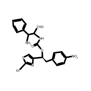 CCc1nc([C@H](Cc2ccc([N+](=O)[O-])cc2)OC(=O)NC(C=O)C(N)c2ccccc2)cs1